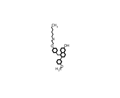 CCCCCCN=CCOc1ccc(Cc2c(-c3cccc(OC)c3)ccc3cc(O)ccc23)cc1